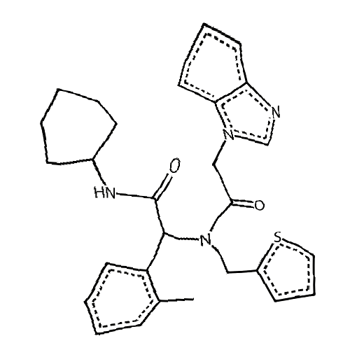 Cc1ccccc1C(C(=O)NC1CCCCC1)N(Cc1cccs1)C(=O)Cn1cnc2ccccc21